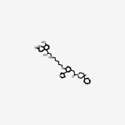 CC1(c2ccccc2)CCN(C(=O)Cc2ccc(OCCCCCNCC(O)c3ccc(O)c4[nH]c(=O)ccc34)c(-c3ccsc3)c2)CC1